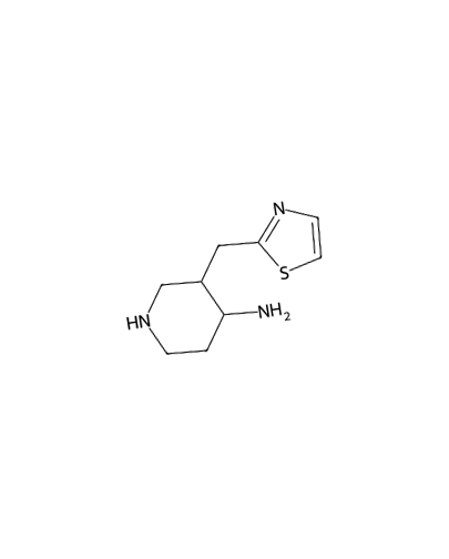 NC1CCNCC1Cc1nccs1